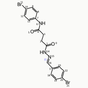 O=C(CCC(=O)Nc1ccc(Br)cc1)N/N=C/c1ccc(Br)cc1